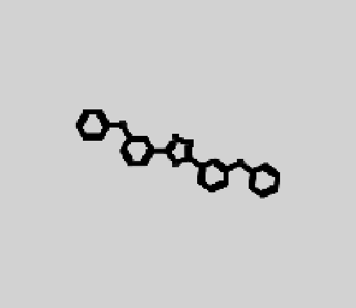 c1ccc(Oc2cccc(-c3nnc(-c4cccc(Oc5ccccc5)c4)o3)c2)cc1